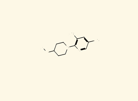 CCOC1CCN(c2ncc(C#N)cc2[N+](=O)[O-])CC1